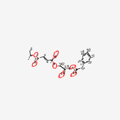 CCOC(=O)C=CC(=O)OCC(=O)OC(=O)Cc1ccccc1